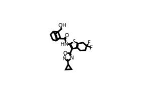 O=C(Nc1sc2c(c1-c1nc(C3CC3)no1)CCC(F)(F)C2)C1=C(CO)C2CCC1CC2